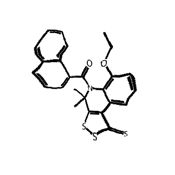 CCOc1cccc2c1N(C(=O)c1cccc3ccccc13)C(C)(C)c1ssc(=S)c1-2